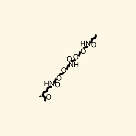 CCCC(=O)NCCOCCOCC(=O)NCCOCCOCC(=O)NCCCC[C@H](C)C(C)=O